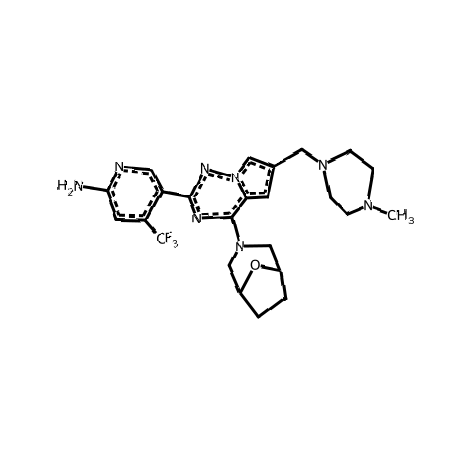 CN1CCN(Cc2cc3c(N4CC5CCC(C4)O5)nc(-c4cnc(N)cc4C(F)(F)F)nn3c2)CC1